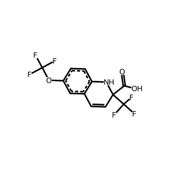 O=C(O)C1(C(F)(F)F)C=Cc2cc(OC(F)(F)F)ccc2N1